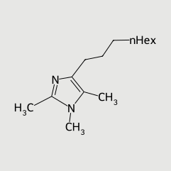 CCCCCCCCCc1nc(C)n(C)c1C